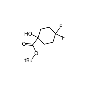 CC(C)(C)OC(=O)C1(O)CCC(F)(F)CC1